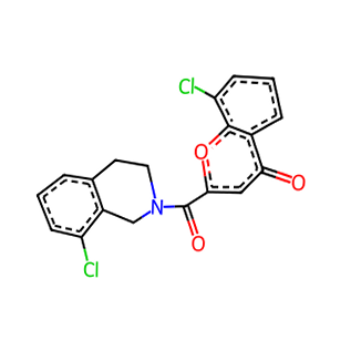 O=C(c1cc(=O)c2cccc(Cl)c2o1)N1CCc2cccc(Cl)c2C1